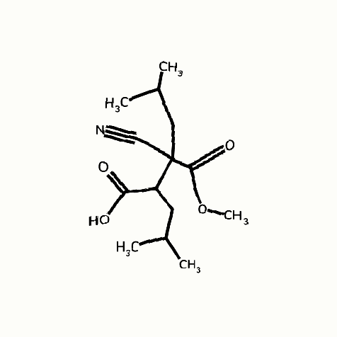 COC(=O)C(C#N)(CC(C)C)C(CC(C)C)C(=O)O